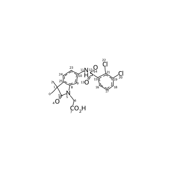 CC1(C)C(=O)N(CC(=O)O)c2cc(NS(=O)(=O)c3cccc(Cl)c3Cl)ccc21